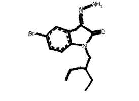 CCC(CC)CN1C(=O)C(=NN)c2cc(Br)ccc21